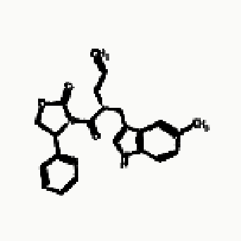 C=CC[C@@H](Cc1c[nH]c2ccc(C)cc12)C(=O)N1C(=O)OC[C@@H]1c1ccccc1